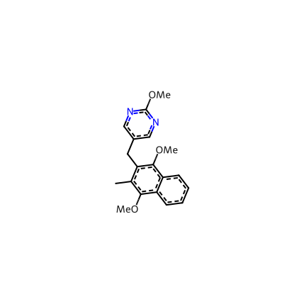 COc1ncc(Cc2c(C)c(OC)c3ccccc3c2OC)cn1